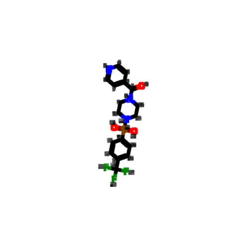 O=C(c1ccncc1)N1CCN(S(=O)(=O)c2ccc(C(F)(F)F)cc2)CC1